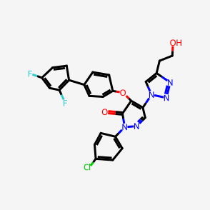 O=c1c(Oc2ccc(-c3ccc(F)cc3F)cc2)c(-n2cc(CCO)nn2)cnn1-c1ccc(Cl)cc1